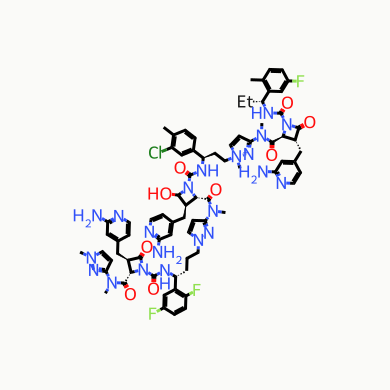 CC[C@@H](NC(=O)N1C(=O)[C@H](Cc2ccnc(N)c2)[C@H]1C(=O)N(C)C1=N[N+](C)(CC[C@@H](NC(=O)N2C(O)[C@H](Cc3ccnc(N)c3)[C@H]2C(=O)N(C)c2ccn(CCC[C@@H](NC(=O)N3C(=O)[C@H](Cc4ccnc(N)c4)[C@H]3C(=O)N(C)c3ccn(C)n3)c3cc(F)ccc3F)n2)c2ccc(C)c(Cl)c2)C=C1)c1cc(F)ccc1C